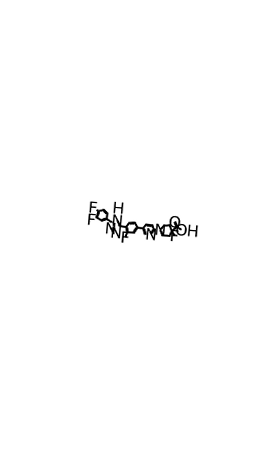 O=C(O)C1(F)CCN(c2ccc(-c3ccc(-c4nnc(-c5ccc(F)c(F)c5)[nH]4)c(F)c3)cn2)CC1